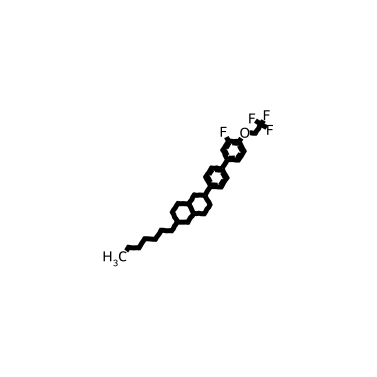 CCCCCCCC1CCC2CC(c3ccc(-c4ccc(OCC(F)(F)F)c(F)c4)cc3)CCC2C1